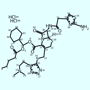 CCCCC(=O)OC(OC(=O)C1=C(CSc2nnnn2CCN(C)C)CS[C@@H]2[C@H](NC(=O)Cc3csc(N)n3)C(=O)N12)C1CCCCC1.Cl.Cl